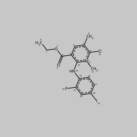 CCOC(=O)c1cc(C)c(Cl)[n+](C)c1Nc1ccc(I)cc1F